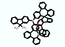 CC1(C)c2ccccc2-c2ccc(N(c3ccc4c(c3)-c3ccccc3-c3ccccc3N4c3ccccc3)c3ccc4c(c3)C3(c5ccccc5-c5ccccc5-4)c4ccccc4-c4c3ccc3c4-c4ccccc4C3)cc21